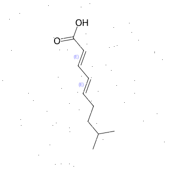 CC(C)CC/C=C/C=C/C(=O)O